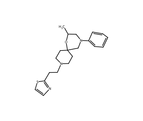 CC1CN(c2ccccc2)CC2(CCN(CCc3nccs3)CC2)O1